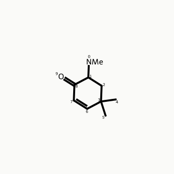 CNC1CC(C)(C)C=CC1=O